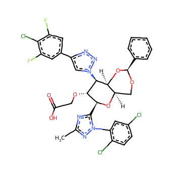 Cc1nc([C@@H]2O[C@@H]3CO[C@H](c4ccccc4)O[C@@H]3[C@H](n3cc(-c4cc(F)c(Cl)c(F)c4)nn3)[C@H]2OCC(=O)O)n(-c2cc(Cl)ccc2Cl)n1